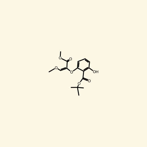 CO/C=C(/Oc1cccc(O)c1C(=O)OC(C)(C)C)C(=O)OC